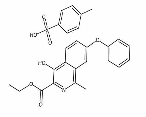 CCOC(=O)c1nc(C)c2cc(Oc3ccccc3)ccc2c1O.Cc1ccc(S(=O)(=O)O)cc1